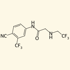 N#Cc1ccc(NC(=O)CNCC(F)(F)F)cc1C(F)(F)F